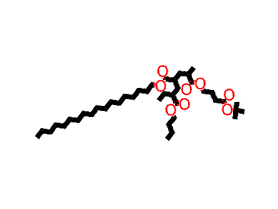 CCCCCCCCCCCCCCCCCCOC(=O)C(CC(C)C(=O)OCCCC(=O)OC(C)(C)C)CC(CC)C(=O)OCCCC